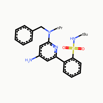 CCCN(Cc1ccccc1)c1cc(N)cc(-c2ccccc2S(=O)(=O)NC(C)(C)C)n1